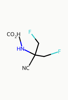 N#CC(CF)(CF)NC(=O)O